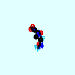 CS(=O)(=O)N1CCC2(CC1)CN(C(=O)N(Cc1ccc(-c3nnc(C(F)F)o3)cc1F)c1ccccc1)C2